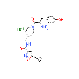 CC(NC(=O)c1cc(C2CC2)on1)C1CCN(C(=O)C(N)Cc2ccc(O)cc2)CC1.Cl